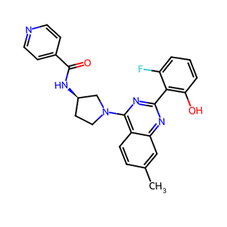 Cc1ccc2c(N3CC[C@@H](NC(=O)c4ccncc4)C3)nc(-c3c(O)cccc3F)nc2c1